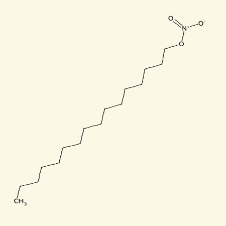 CCCCCCCCCCCCCCCCO[N+](=O)[O-]